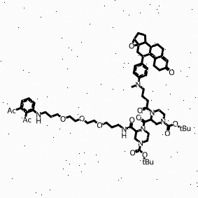 CC(=O)c1cccc(NCCCOCCOCCOCCCNC(=O)C2CN(C(=O)OC(C)(C)C)CCN2C(=O)C2CN(C(=O)OC(C)(C)C)CCN2C(=O)CCCN(C)c2ccc(C3CC45OC4CCC5C4CCC5=CC(=O)CCC5=C34)cc2)c1C(C)=O